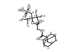 O=C(COC(=O)C12CC3CC(CC(C3)C1)C2)OC(CS(=O)(=O)O)(C(F)(F)F)C(F)(F)F